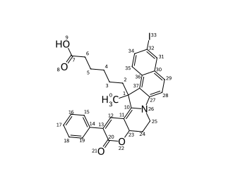 CC1(CCCCCC(=O)O)C2=C3C=C(c4ccccc4)C(=O)OC3CCN2c2ccc3cc(I)ccc3c21